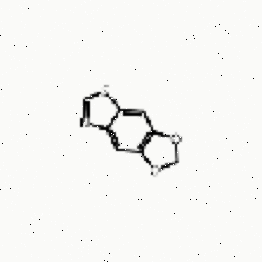 c1nc2cc3c(cc2s1)OCO3